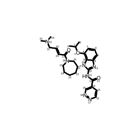 CC(C)Oc1cccc2nc(NC(=O)c3ccnnc3)n([C@@H]3CCCCN(C(=O)/C=C/CN(C)C)C3)c12